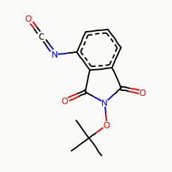 CC(C)(C)ON1C(=O)c2cccc(N=C=O)c2C1=O